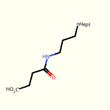 CCCCCCCCCCNC(=O)CCC(=O)O